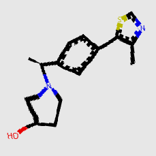 Cc1ncsc1-c1ccc([C@H](C)N2CCC(O)C2)cc1